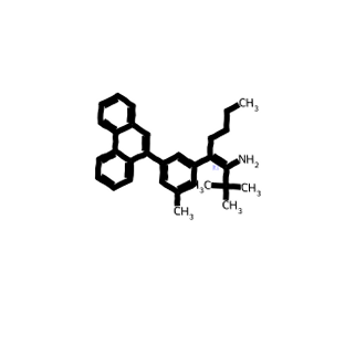 CCCC/C(=C(\N)C(C)(C)C)c1cc(C)cc(-c2cc3ccccc3c3ccccc23)c1